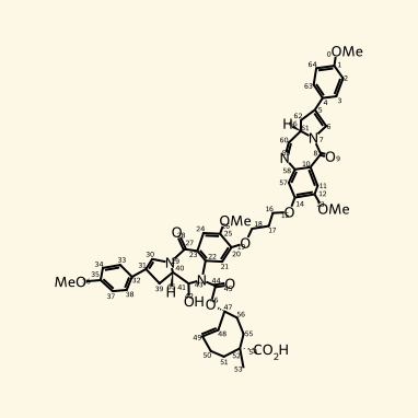 COc1ccc(C2=CN3C(=O)c4cc(OC)c(OCCCOc5cc6c(cc5OC)C(=O)N5C=C(c7ccc(OC)cc7)C[C@H]5C(O)N6C(=O)O[C@H]5/C=C/CC[C@@](C)(C(=O)O)CC5)cc4N=C[C@@H]3C2)cc1